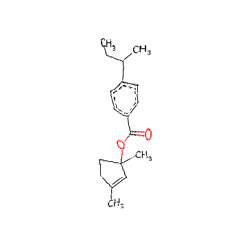 CCC(C)c1ccc(C(=O)OC2(C)C=C(C)CC2)cc1